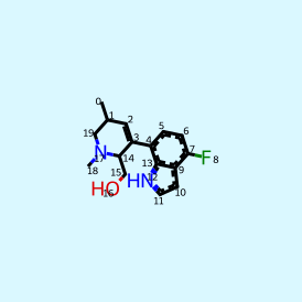 CC1C=C(c2ccc(F)c3cc[nH]c23)C(CO)N(C)C1